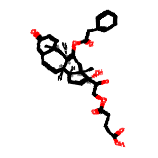 C[C@]12CCC(=O)C=C1CC[C@@H]1[C@@H]2C(OC(=O)Cc2ccccc2)C[C@@]2(C)[C@H]1CC[C@]2(O)C(=O)COC(=O)CCC(=O)O